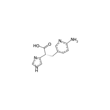 Nc1ccc(C[C@@H](C(=O)O)c2c[nH]cn2)cn1